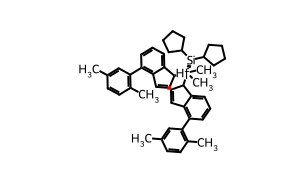 Cc1ccc(C)c(-c2cccc3c2C=C[CH]3[Hf]([CH3])([CH3])([CH]2C=Cc3c(-c4cc(C)ccc4C)cccc32)=[Si](C2CCCC2)C2CCCC2)c1